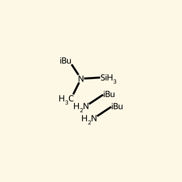 CCC(C)N.CCC(C)N.CCC(C)N(C)[SiH3]